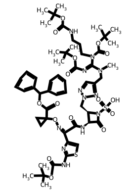 CN(Cc1cnn(C[C@@H]2[C@H](NC(=O)C(=NOC3(C(=O)OC(c4ccccc4)c4ccccc4)CC3)c3csc(NC(=O)OC(C)(C)C)n3)C(=O)N2S(=O)(=O)O)n1)C(=NC(=O)OC(C)(C)C)N(CCCNC(=O)OC(C)(C)C)C(=O)OC(C)(C)C